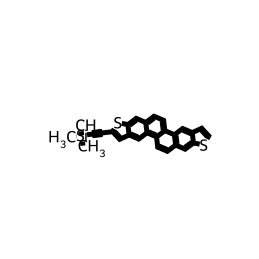 C[Si](C)(C)C#Cc1cc2cc3c(ccc4c5cc6ccsc6cc5ccc34)cc2s1